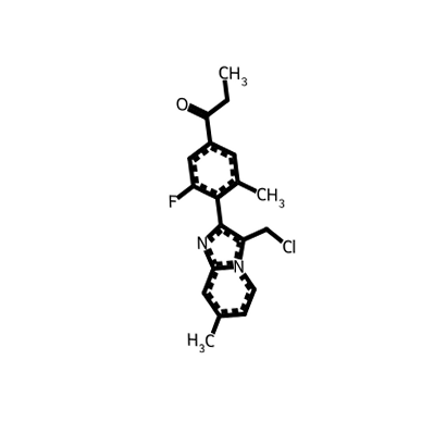 CCC(=O)c1cc(C)c(-c2nc3cc(C)ccn3c2CCl)c(F)c1